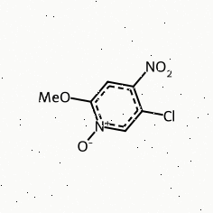 COc1cc([N+](=O)[O-])c(Cl)c[n+]1[O-]